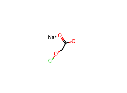 O=C([O-])COCl.[Na+]